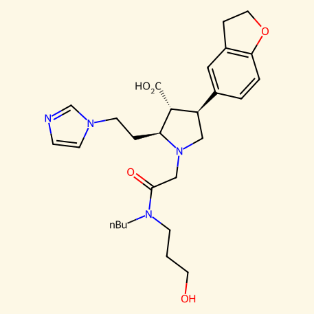 CCCCN(CCCO)C(=O)CN1C[C@H](c2ccc3c(c2)CCO3)[C@@H](C(=O)O)[C@@H]1CCn1ccnc1